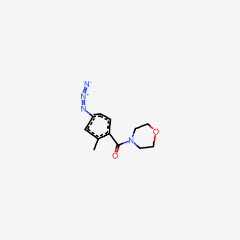 Cc1cc(N=[N+]=[N-])ccc1C(=O)N1CCOCC1